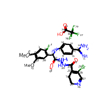 COc1cc(F)c(C(Nc2ccc(C(=N)N)cc2)C(=O)NNC(=O)c2ccncc2Br)cc1OC.O=C(O)C(F)(F)F